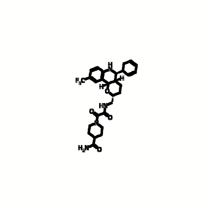 NC(=O)C1CCN(C(=O)C(=O)NC[C@H]2CC[C@@H]3[C@H](O2)c2cc(C(F)(F)F)ccc2N[C@H]3C2C=CC=CC2)CC1